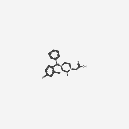 C[C@@H]1CN([C@H](c2ccccc2)c2ccc(F)cc2F)CCN1CC(=O)O